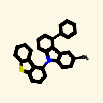 Cc1ccc2c(c1)c1c(-c3ccccc3)cccc1n2-c1cccc2sc3ccccc3c12